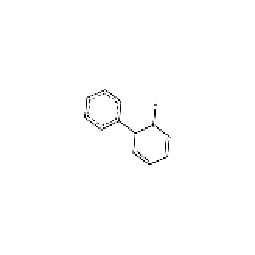 F[C]1C=CC=CC1c1ccccc1